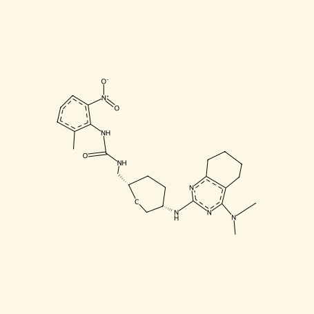 Cc1cccc([N+](=O)[O-])c1NC(=O)NC[C@H]1CC[C@@H](Nc2nc3c(c(N(C)C)n2)CCCC3)CC1